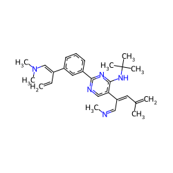 C=C/C(=C\N(C)C)c1cccc(-c2ncc(C(/C=N\C)=C/C(=C)C)c(NC(C)(C)C)n2)c1